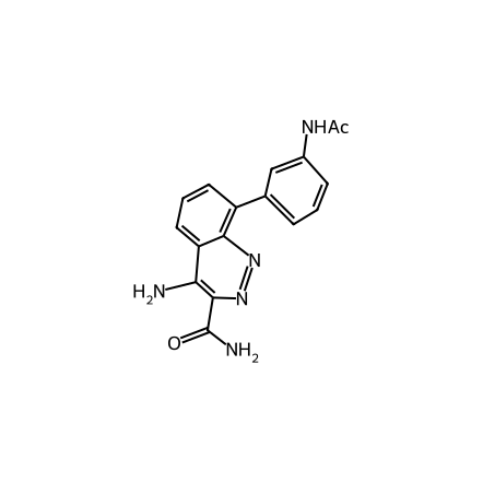 CC(=O)Nc1cccc(-c2cccc3c(N)c(C(N)=O)nnc23)c1